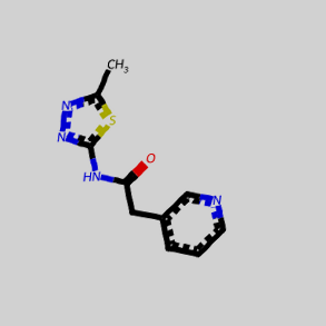 Cc1nnc(NC(=O)Cc2cccnc2)s1